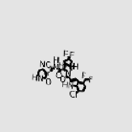 N#C[C@@H](C[C@H]1CCCNC1=O)NC(=O)[C@H]1[C@H]2CC(F)(F)C[C@H]2CN1C(=O)c1cc2c(C(F)F)ccc(Cl)c2[nH]1